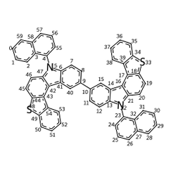 c1ccc2c(-n3c4ccc(-c5ccc6c(c5)c5c7c(ccc5n6-c5cccc6ccccc56)sc5ccccc57)cc4c4c5c(ccc43)sc3ccccc35)cccc2c1